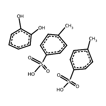 Cc1ccc(S(=O)(=O)O)cc1.Cc1ccc(S(=O)(=O)O)cc1.Oc1ccccc1O